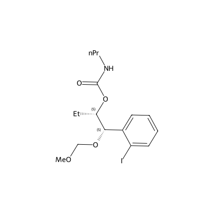 CCCNC(=O)O[C@@H](CC)[C@@H](OCOC)c1ccccc1I